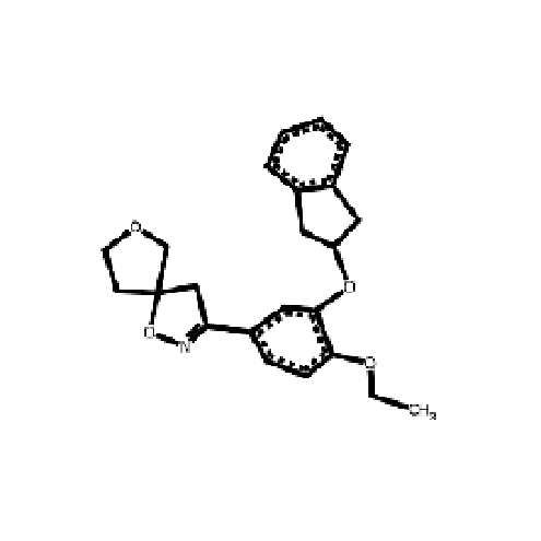 CCOc1ccc(C2=NOC3(CCOC3)C2)cc1OC1Cc2ccccc2C1